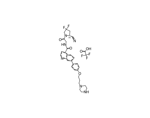 N#C[C@@H]1CC(F)(F)CN1C(=O)CNC(=O)c1ccnc2cc(-c3ccc(OCCCN4CCNCC4)cc3)ccc12.O=C(O)C(F)(F)F